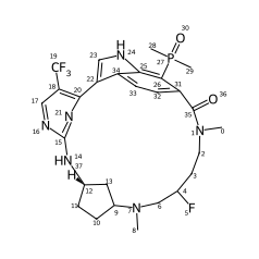 CN1CCC(F)CN(C)C2CC[C@@H](C2)Nc2ncc(C(F)(F)F)c(n2)-c2c[nH]c3c(P(C)(C)=O)c(ccc23)C1=O